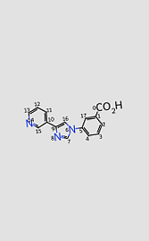 O=C(O)c1cccc(-n2cnc(-c3cccnc3)c2)c1